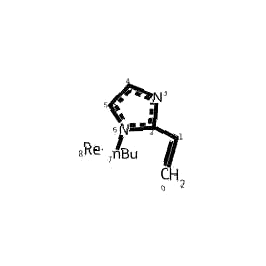 C=Cc1nccn1CCCC.[Re]